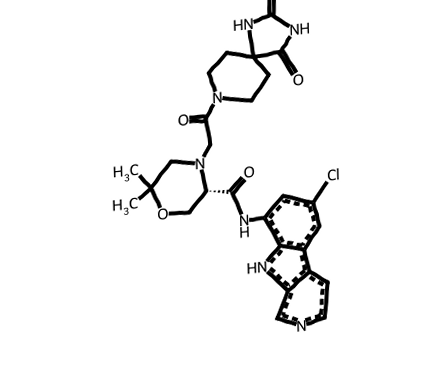 CC1(C)CN(CC(=O)N2CCC3(CC2)NC(=O)NC3=O)[C@H](C(=O)Nc2cc(Cl)cc3c2[nH]c2cnccc23)CO1